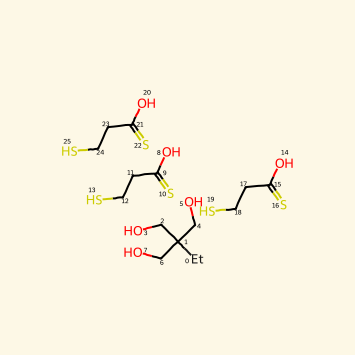 CCC(CO)(CO)CO.OC(=S)CCS.OC(=S)CCS.OC(=S)CCS